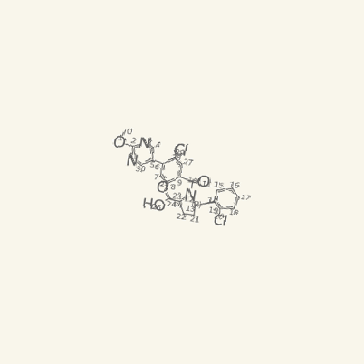 COc1ncc(-c2ccc(C(=O)N3[C@@H](c4ccccc4Cl)CC[C@H]3C(=O)O)cc2Cl)cn1